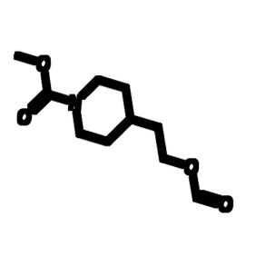 COC(=O)N1CCC(CCOC=O)CC1